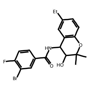 CCc1ccc2c(c1)C(NC(=O)c1ccc(F)c(Br)c1)C(O)C(C)(C)O2